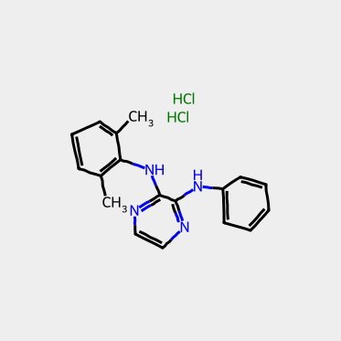 Cc1cccc(C)c1Nc1nccnc1Nc1ccccc1.Cl.Cl